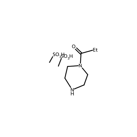 CCC(=O)N1CCNCC1.CS(=O)(=O)O.CS(=O)(=O)O